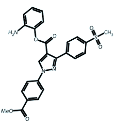 COC(=O)c1ccc(-n2cc(C(=O)Oc3ccccc3N)c(-c3ccc(S(C)(=O)=O)cc3)n2)cc1